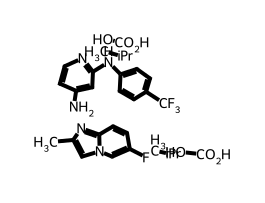 CC(C)C.CC(C)C.Cc1cn2cc(F)ccc2n1.Nc1ccnc(Nc2ccc(C(F)(F)F)cc2)c1.O=C(O)O.O=C(O)O